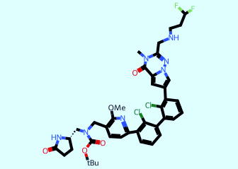 COc1nc(-c2cccc(-c3cccc(-c4cc5c(=O)n(C)c(CNCCC(F)F)nn5c4)c3Cl)c2Cl)ccc1CN(C[C@@H]1CCC(=O)N1)C(=O)OC(C)(C)C